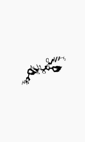 NCCC(=O)N1CC(C(=O)Nc2nc3ccc(-c4cn[nH]c4)cc3s2)CC1c1ccccc1